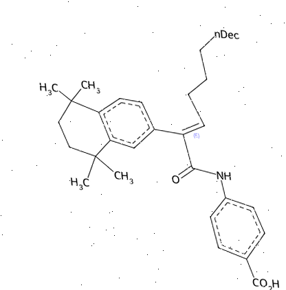 CCCCCCCCCCCCC/C=C(/C(=O)Nc1ccc(C(=O)O)cc1)c1ccc2c(c1)C(C)(C)CCC2(C)C